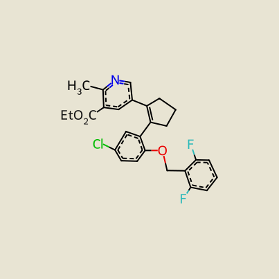 CCOC(=O)c1cc(C2=C(c3cc(Cl)ccc3OCc3c(F)cccc3F)CCC2)cnc1C